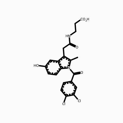 Cc1c(CC(=O)NCCC(=O)O)c2cc(O)ccc2n1C(=O)c1ccc(Cl)c(Cl)c1